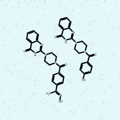 N#Cc1ccc(C(=O)N2CCN(c3nc4ccccc4c(=O)[nH]3)CC2)cc1.N/C(=N\O)c1ccc(C(=O)N2CCN(c3nc4ccccc4c(=O)[nH]3)CC2)cc1